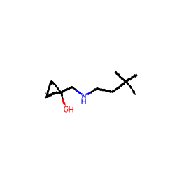 CC(C)(C)CCNCC1(O)CC1